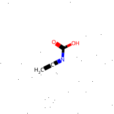 C=C=NC(=O)O